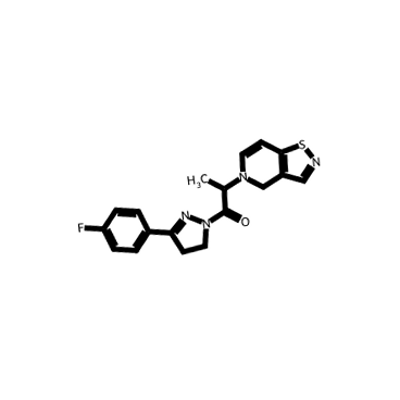 CC(C(=O)N1CCC(c2ccc(F)cc2)=N1)N1C=Cc2sncc2C1